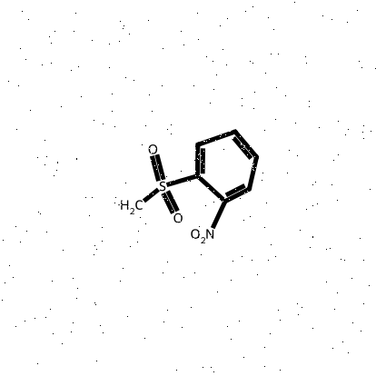 [CH2]S(=O)(=O)c1ccccc1[N+](=O)[O-]